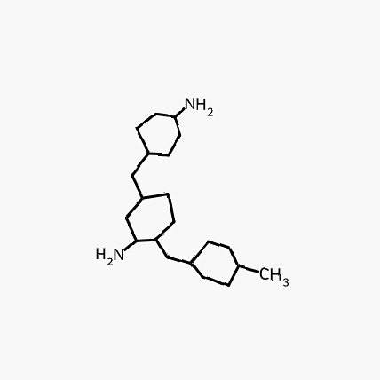 CC1CCC(CC2CCC(CC3CCC(N)CC3)CC2N)CC1